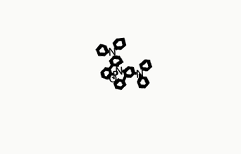 O=P12c3ccccc3-c3cc(N(c4ccccc4)c4ccccc4)ccc3N1c1ccc(N(c3ccccc3)c3ccccc3)cc1-c1ccccc12